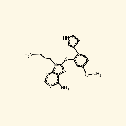 COc1ccc(-c2cc[nH]c2)c(Sc2nc3c(N)ncnc3n2CCCN)c1